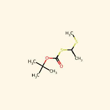 CSC(C)SC(=O)OC(C)(C)C